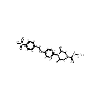 CCCCOC(=O)N1CC(C)N(c2ncc(OCc3ccc(S(C)(=O)=O)cc3)cn2)C(C)C1